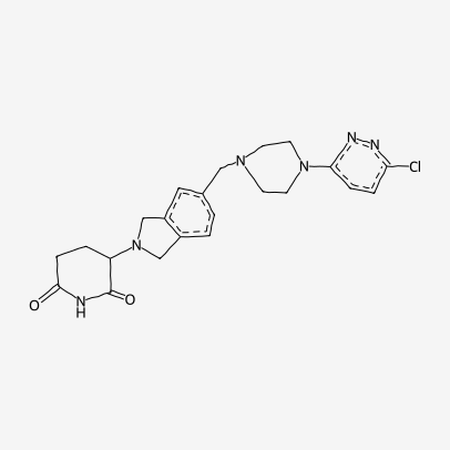 O=C1CCC(N2Cc3ccc(CN4CCN(c5ccc(Cl)nn5)CC4)cc3C2)C(=O)N1